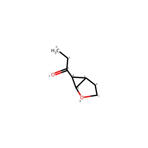 CCC(=O)C1C2CCOC21